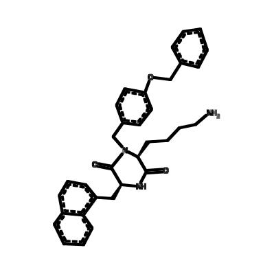 NCCCC[C@H]1C(=O)N[C@@H](Cc2cccc3ccccc23)C(=O)N1Cc1ccc(OCc2ccccc2)cc1